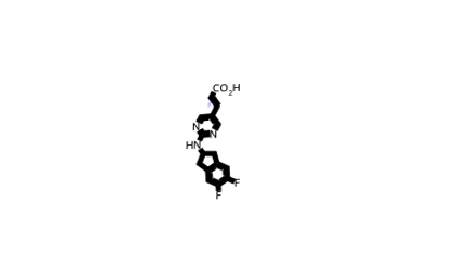 O=C(O)/C=C/c1cnc(NC2Cc3cc(F)c(F)cc3C2)nc1